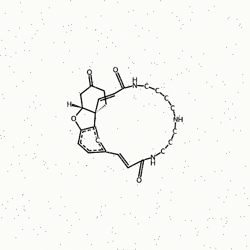 O=C1CC[C@]23/C=C/C(=O)NCCCCNCCCNC(=O)/C=C/c4ccc(c2c4)O[C@@H]3C1